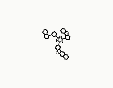 c1cc(-c2nc(-c3ccc4oc5cc6ccccc6cc5c4c3)nc(-c3cccc4sc5ccccc5c34)n2)cc(-c2cccc3ccccc23)c1